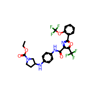 CCOC(=O)N1CCC(Nc2ccc(NC(=O)c3nc(-c4ccccc4OC(F)(F)F)oc3C(F)(F)F)cc2)C1